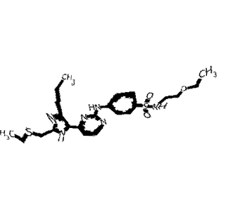 CCCc1nc(CSCC)[nH]c1-c1ccnc(Nc2ccc(S(=O)(=O)NCCOCC)cc2)n1